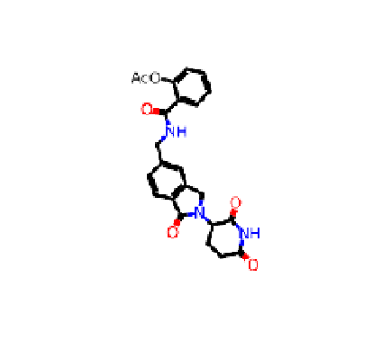 CC(=O)Oc1ccccc1C(=O)NCc1ccc2c(c1)CN(C1CCC(=O)NC1=O)C2=O